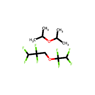 CC(C)OC(C)C.FC(F)C(F)(F)COC(F)(F)C(F)F